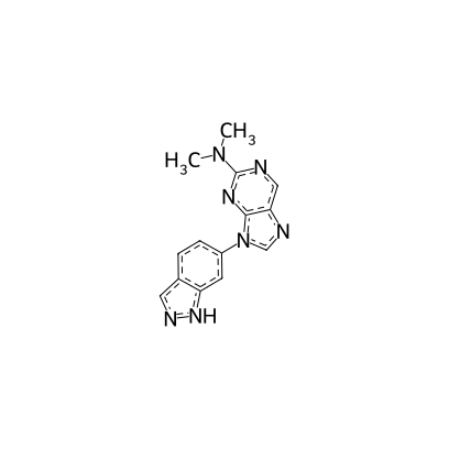 CN(C)c1ncc2ncn(-c3ccc4cn[nH]c4c3)c2n1